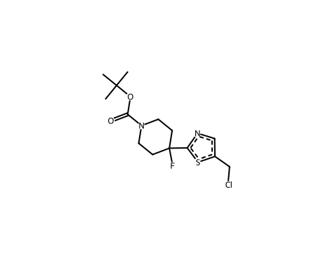 CC(C)(C)OC(=O)N1CCC(F)(c2ncc(CCl)s2)CC1